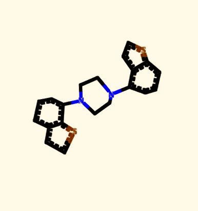 c1cc(N2CCN(c3cccc4sccc34)CC2)c2sccc2c1